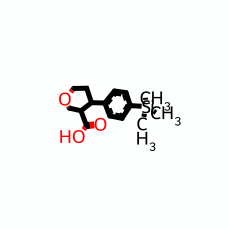 C[Si](C)(C)c1ccc(C2CCOCC2C(=O)O)cc1